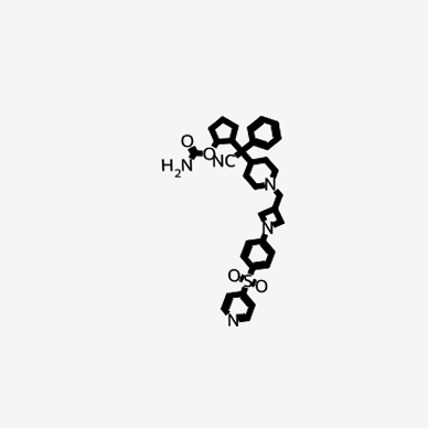 N#CC(c1ccccc1)(C1CCN(CC2CN(c3ccc(S(=O)(=O)c4ccncc4)cc3)C2)CC1)C1CCCC1OC(N)=O